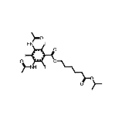 CC(=O)Nc1c(I)c(NC(C)=O)c(I)c(C(=O)OCCCCCC(=O)OC(C)C)c1I